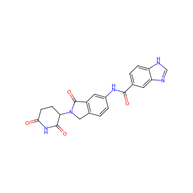 O=C1CCC(N2Cc3ccc(NC(=O)c4ccc5[nH]cnc5c4)cc3C2=O)C(=O)N1